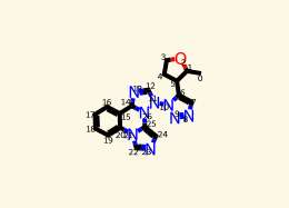 CC1OCCC1c1cnnn1N1C=NC2c3ccccc3-n3cncc3N21